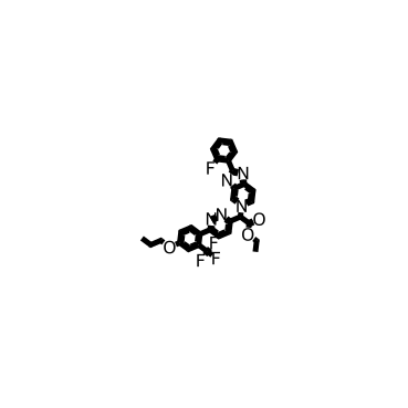 CCCOc1ccc(-c2ccc(C(C(=O)OCC)n3ccc4nc(-c5ccccc5F)nc-4c3)nn2)c(C(F)(F)F)c1